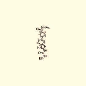 CCNC(=O)Nc1nc2nc(-n3cc(C(=O)NC(C)=O)cn3)ccc2[nH]1